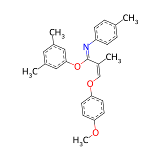 COc1ccc(OC=C(C)C(=Nc2ccc(C)cc2)Oc2cc(C)cc(C)c2)cc1